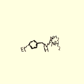 CCc1ccc(CNP(N)N)cc1